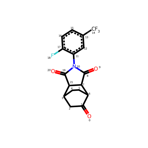 O=C1CC2CCC1C1C(=O)N(c3cc(C(F)(F)F)ccc3F)C(=O)C21